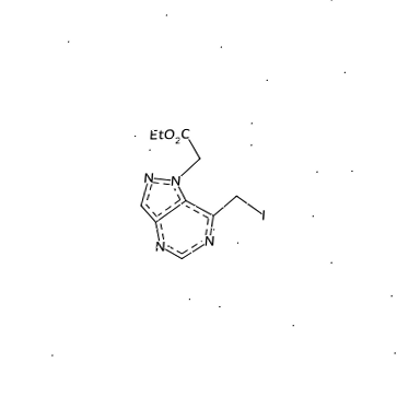 CCOC(=O)Cn1ncc2ncnc(CI)c21